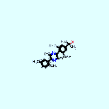 CCc1nc(-c2c(OC)cc(C(C)(C)O)cc2OC)c(CC)nc1-c1cc(C)ccc1C